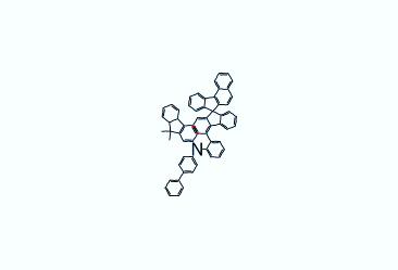 CC1(C)c2cc(N(c3ccc(-c4ccccc4)cc3)c3ccccc3-c3cccc4c3-c3ccccc3C43c4ccccc4-c4c3ccc3ccccc43)ccc2C2C=CC=CC21